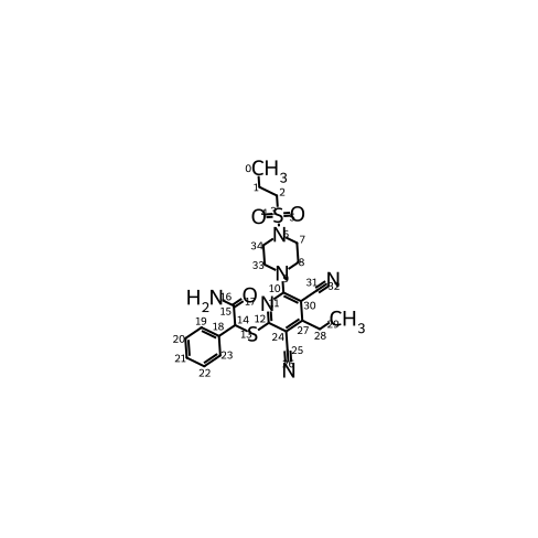 CCCS(=O)(=O)N1CCN(c2nc(SC(C(N)=O)c3ccccc3)c(C#N)c(CC)c2C#N)CC1